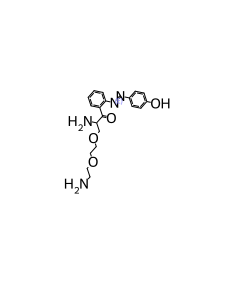 NCCOCCOCC(N)C(=O)c1ccccc1/N=N/c1ccc(O)cc1